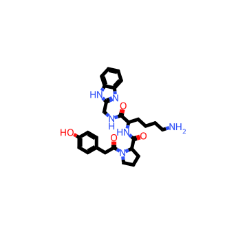 NCCCCC(NC(=O)C1CCCN1C(=O)Cc1ccc(O)cc1)C(=O)NCc1nc2ccccc2[nH]1